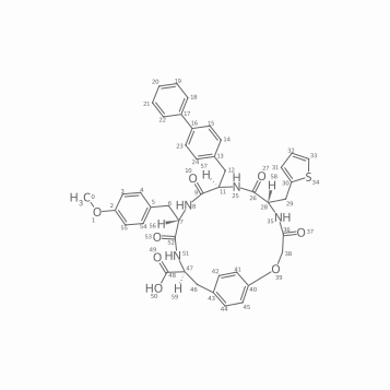 COc1ccc(C[C@@H]2NC(=O)[C@@H](Cc3ccc(-c4ccccc4)cc3)NC(=O)[C@H](Cc3cccs3)NC(=O)COc3ccc(cc3)C[C@@H](C(=O)O)NC2=O)cc1